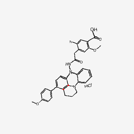 COc1ccc(-c2ccc(N(NC(=O)Cc3cc(OC)c(C(=O)O)cc3Br)c3ccccc3N3CCCCC3)cc2)cc1.Cl